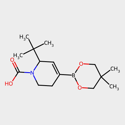 CC1(C)COB(C2=CC(C(C)(C)C)N(C(=O)O)CC2)OC1